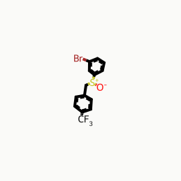 [O-][S+](Cc1ccc(C(F)(F)F)cc1)c1cccc(Br)c1